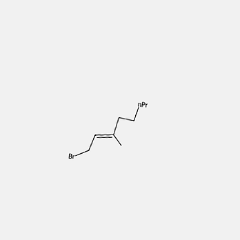 CCCCC/C(C)=C/CBr